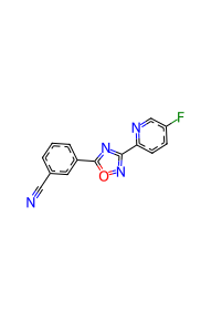 N#Cc1cccc(-c2nc(-c3ccc(F)cn3)no2)c1